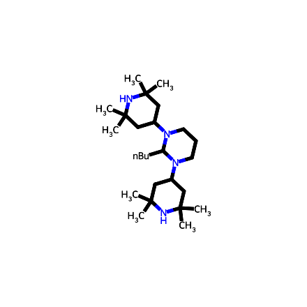 CCCCC1N(C2CC(C)(C)NC(C)(C)C2)CCCN1C1CC(C)(C)NC(C)(C)C1